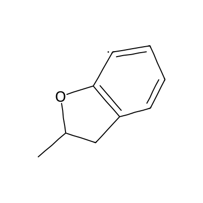 CC1Cc2ccc[c]c2O1